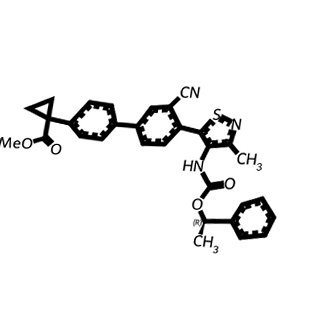 COC(=O)C1(c2ccc(-c3ccc(-c4snc(C)c4NC(=O)O[C@H](C)c4ccccc4)c(C#N)c3)cc2)CC1